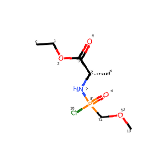 CCOC(=O)[C@H](C)NP(=O)(Cl)COC